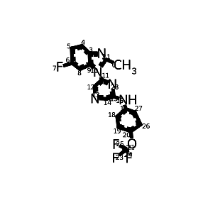 Cc1nc2ccc(F)cc2n1-c1cncc(Nc2ccc(OC(F)(F)F)cc2)n1